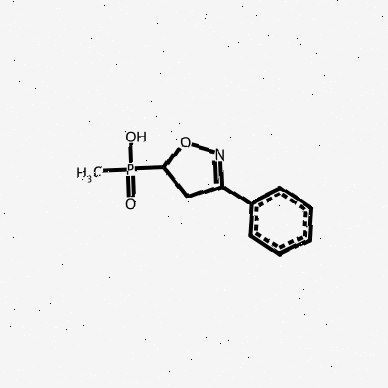 CP(=O)(O)C1CC(c2ccccc2)=NO1